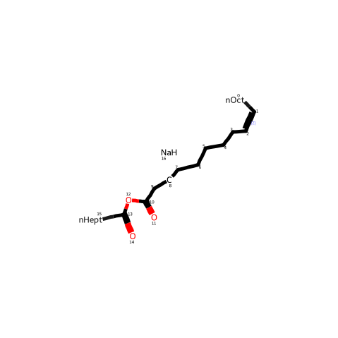 CCCCCCCC/C=C\CCCCCCCC(=O)OC(=O)CCCCCCC.[NaH]